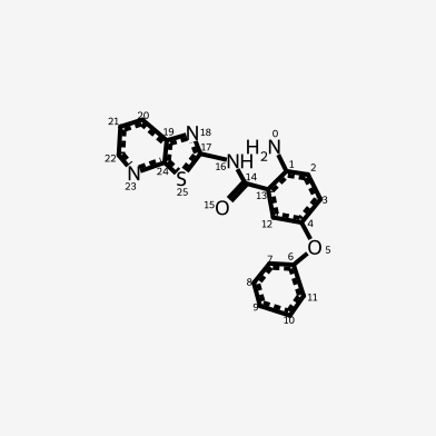 Nc1ccc(Oc2ccccc2)cc1C(=O)Nc1nc2cccnc2s1